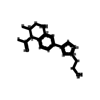 CC(=O)N1c2ccc(-c3cnn(CCO)c3)cc2NCC1C